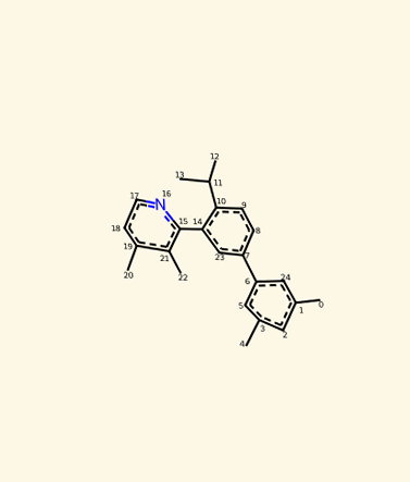 Cc1cc(C)cc(-c2ccc(C(C)C)c(-c3nccc(C)c3C)c2)c1